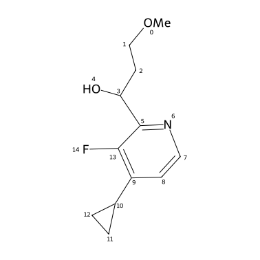 COCCC(O)c1nccc(C2CC2)c1F